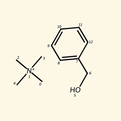 C[N+](C)(C)C.OCc1ccccc1